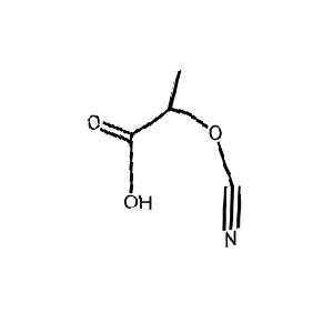 CC(OC#N)C(=O)O